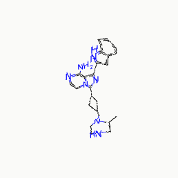 CC1CNCCN1C1CC(c2nc(-c3cc4ccccc4[nH]3)c3c(N)nccn23)C1